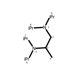 CC(C)N(CC(C)N(C(C)C)C(C)C)C(C)C